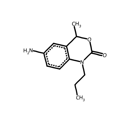 CCCN1C(=O)OC(C)c2cc(N)ccc21